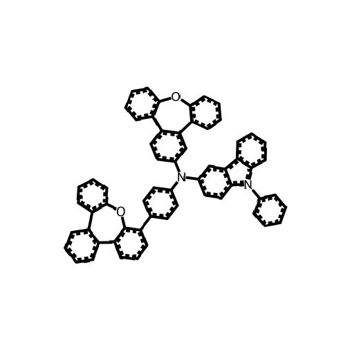 c1ccc(-n2c3ccccc3c3cc(N(c4ccc(-c5cccc6c5Oc5ccccc5-c5ccccc5-6)cc4)c4ccc5c(c4)-c4ccccc4Oc4ccccc4-5)ccc32)cc1